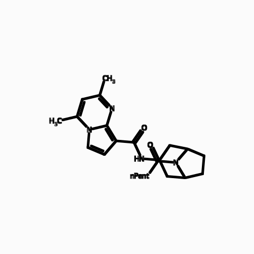 CCCCCC(=O)N1C2CCC1CC(NC(=O)c1ccn3c(C)cc(C)nc13)C2